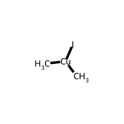 [CH3][Cu]([CH3])[I]